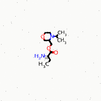 CC[C@H](N)C(=O)OCC1COCCN1C(C)C